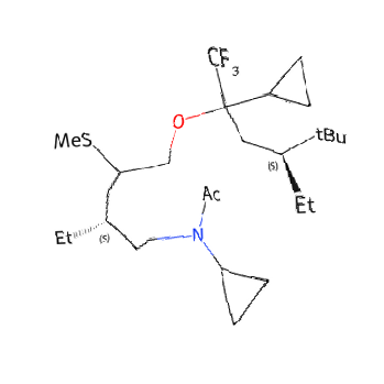 CC[C@@H](CN(C(C)=O)C1CC1)C(COC(C[C@H](CC)C(C)(C)C)(C1CC1)C(F)(F)F)SC